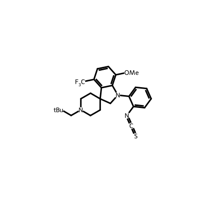 COc1ccc(C(F)(F)F)c2c1N(c1ccccc1N=C=S)CC21CCN(CC(C)(C)C)CC1